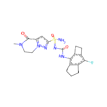 CN1CCn2nc(S(N)(=O)=NC(=O)Nc3c4c(c(F)c5c3CC5)CCC4)cc2C1=O